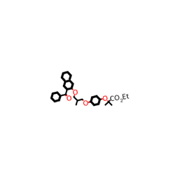 CCOC(=O)C(C)(C)Oc1ccc(OCC(C)COc2cc3ccccc3cc2C(=O)c2ccccc2)cc1